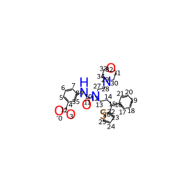 COC(=O)c1cccc(NC(=O)N(CCC(c2ccccc2)c2cccs2)CCN2CCOCC2)c1